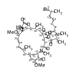 CCC(C)C(C)SSCCC(=O)N(C)[C@@H](C)C(=O)O[C@H]1CC(=O)N(C)c2cc(cc(OC)c2Cl)C/C(C)=C/C=C/[C@@H](OC)[C@@]2(O)CC(OC(=O)N2)[C@@H](C)C2OC21C